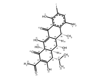 C[C@H]1c2c(N)cc(I)c(O)c2C(=O)C2=C(O)[C@]3(O)C(=O)C(C(N)=O)=C(O)[C@@H](N(C)C)[C@@H]3[C@@H](O)[C@@H]21